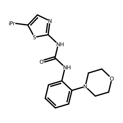 CC(C)c1cnc(NC(=O)Nc2ccccc2N2CCOCC2)s1